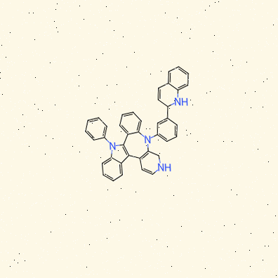 C1=CC2=C(CN1)N(c1cccc(C3C=Cc4ccccc4N3)c1)c1ccccc1-c1c2c2ccccc2n1-c1ccccc1